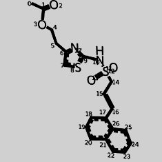 CC(=O)OCCc1csc(NS(=O)(=O)CC=Cc2cccc3ccccc23)n1